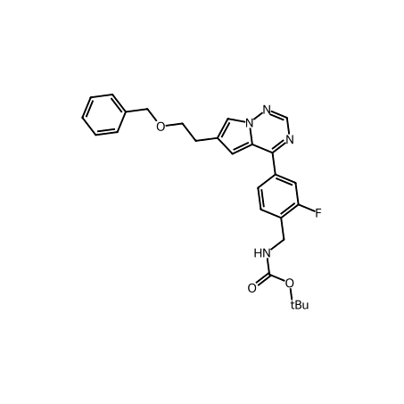 CC(C)(C)OC(=O)NCc1ccc(-c2ncnn3cc(CCOCc4ccccc4)cc23)cc1F